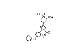 CC(C)(C)C1CC(n2cc(C(N)=O)c(-c3ccc(Oc4ccccc4)cc3)n2)CCN1C(=O)O